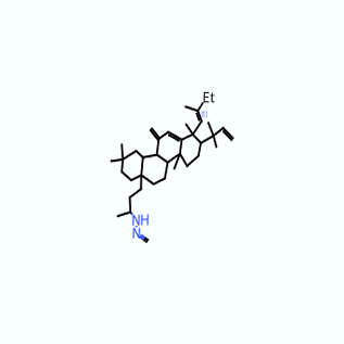 C=CC(C)(C)C1CCC2(C)C(=CC(=C)C3C4CC(C)(C)CCC4(CCC(C)NN=C)CCC32)C1(C)/C=C(\C)CC